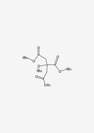 CC(=O)OC(=O)CC(CC(=O)OC(C)(C)C)(OC(C)(C)C)C(=O)OC(C)(C)C